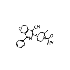 CCCC(=O)N1CCN(c2nc(-c3ccccc3)c3c(c2C#N)CCOC3)CC1C